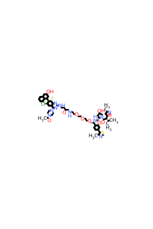 CC(=O)N1CCN(c2nc(NCCC(=O)CNCCOCCOCCOC[C@H](NC(=O)[C@@H]3C[C@@H](O)CN3C(=O)[C@H](c3cc(C)no3)C(C)C)c3ccc(-c4scnc4C)cc3)nc3c(F)c(-c4cc(O)cc5ccccc45)c(Cl)cc23)CC1